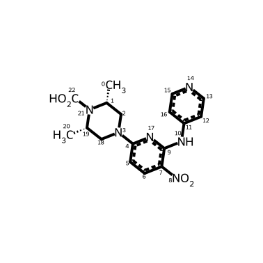 C[C@@H]1CN(c2ccc([N+](=O)[O-])c(Nc3ccncc3)n2)C[C@H](C)N1C(=O)O